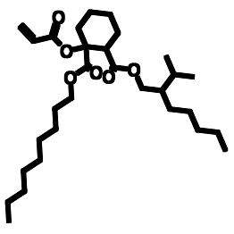 C=CC(=O)OC1(C(=O)OCCCCCCCCC)CCCCC1C(=O)OCC(CCCCC)C(C)C